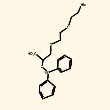 CC(C)(C)CCOCCOCC(O[SiH](c1ccccc1)c1ccccc1)C(=O)O